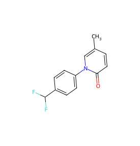 Cc1ccc(=O)n(-c2ccc(C(F)F)cc2)c1